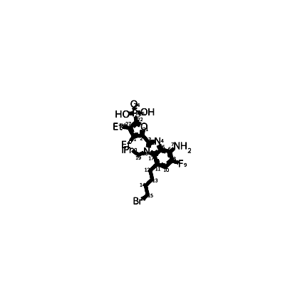 CCc1c(-c2nc3c(N)c(F)cc(CCCCBr)c3n2CC(C)C)oc(P(=O)(O)O)c1CC